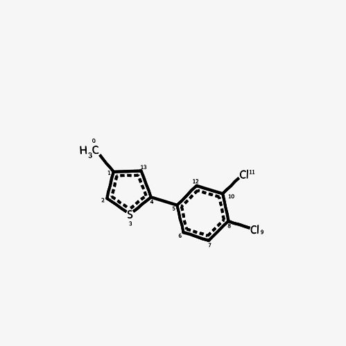 Cc1csc(-c2ccc(Cl)c(Cl)c2)c1